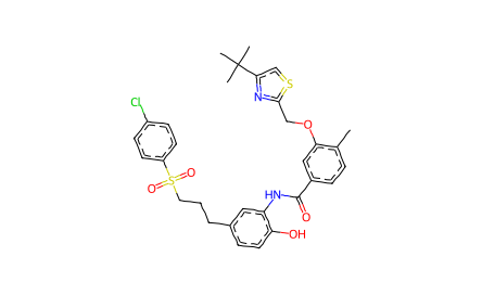 Cc1ccc(C(=O)Nc2cc(CCCS(=O)(=O)c3ccc(Cl)cc3)ccc2O)cc1OCc1nc(C(C)(C)C)cs1